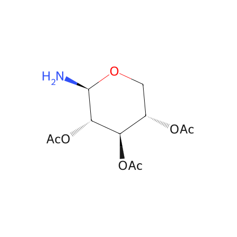 CC(=O)O[C@H]1[C@H](OC(C)=O)[C@@H](N)OC[C@@H]1OC(C)=O